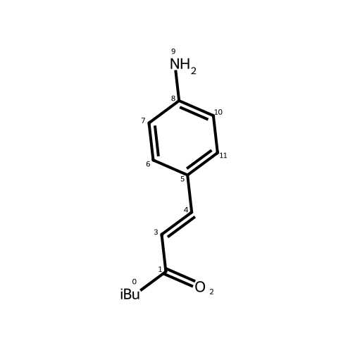 CCC(C)C(=O)/C=C/c1ccc(N)cc1